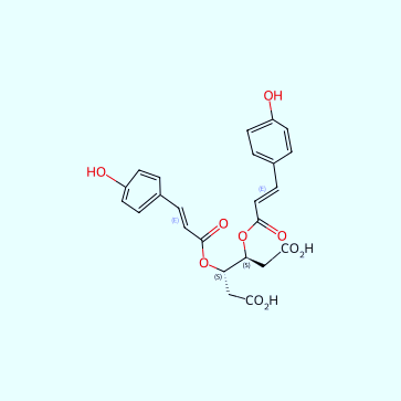 O=C(O)C[C@H](OC(=O)/C=C/c1ccc(O)cc1)[C@H](CC(=O)O)OC(=O)/C=C/c1ccc(O)cc1